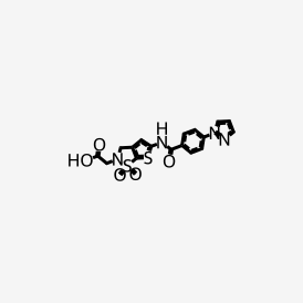 O=C(O)CN1Cc2cc(NC(=O)c3ccc(-n4cccn4)cc3)sc2S1(=O)=O